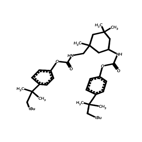 CC(C)(C)CC(C)(C)c1ccc(OC(=O)NCC2(C)CC(NC(=O)Oc3ccc(C(C)(C)CC(C)(C)C)cc3)CC(C)(C)C2)cc1